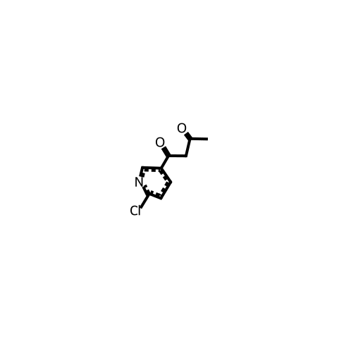 CC(=O)CC(=O)c1ccc(Cl)nc1